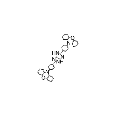 C1=C(C2=NC3NC(c4ccc(N5c6ccccc6Oc6ccccc65)cc4)=NC3N2)CCC(N2c3ccccc3Oc3ccccc32)=C1